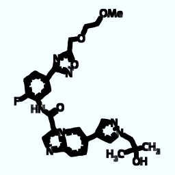 COCCOCc1nc(-c2ccc(F)c(NC(=O)c3cnc4ccc(-c5cnn(CC(C)(C)O)c5)cn34)c2)no1